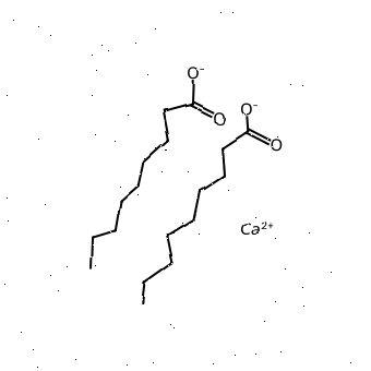 CCCCCCCCC(=O)[O-].CCCCCCCCC(=O)[O-].[Ca+2]